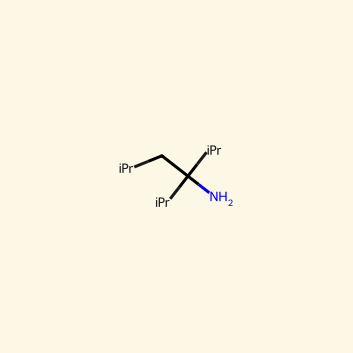 CC(C)CC(N)(C(C)C)C(C)C